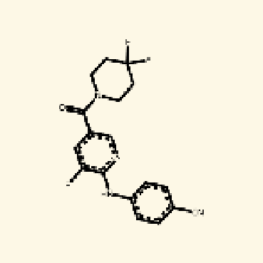 N#Cc1ccc(Nc2ncc(C(=O)N3CCC(F)(F)CC3)cc2F)cc1